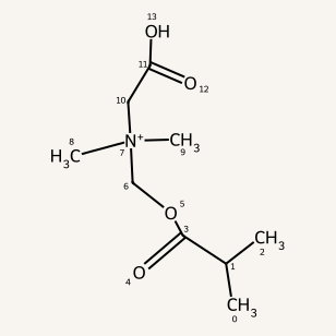 CC(C)C(=O)OC[N+](C)(C)CC(=O)O